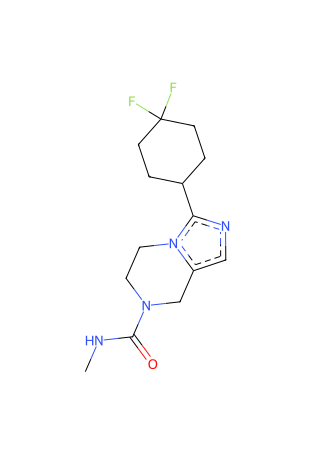 CNC(=O)N1CCn2c(cnc2C2CCC(F)(F)CC2)C1